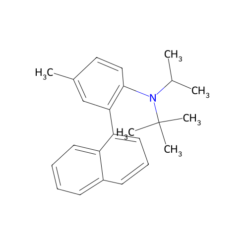 Cc1ccc(N(C(C)C)C(C)(C)C)c(-c2cccc3ccccc23)c1